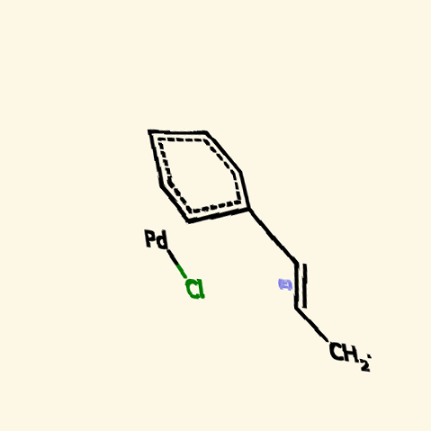 [CH2]/C=C/c1ccccc1.[Cl][Pd]